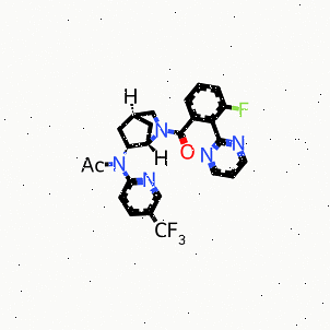 CC(=O)N(c1ccc(C(F)(F)F)cn1)[C@@H]1C[C@@H]2C[C@@H]1N(C(=O)c1cccc(F)c1-c1ncccn1)C2